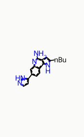 CCCCc1cc2c(N)nc3cc(-c4ccn[nH]4)ccc3c2[nH]1